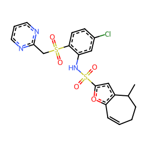 CC1CCC=Cc2oc(S(=O)(=O)Nc3cc(Cl)ccc3S(=O)(=O)Cc3ncccn3)cc21